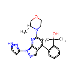 C[C@@H]1COCCN1c1cc(-c2ccccc2C(C)(C)O)c2cnn(-c3cc[nH]n3)c2n1